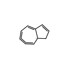 C1=C=C[C]2CC=CC2=CC=1